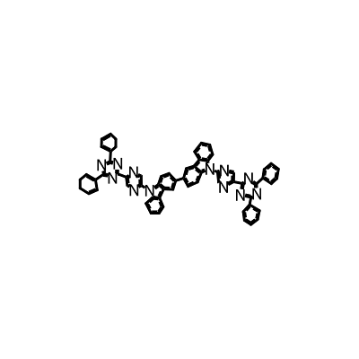 C1=CCCC(c2nc(C3=CCCC=C3)nc(-c3cnc(-n4c5ccccc5c5cc(-c6ccc7c(c6)c6ccccc6n7-c6cnc(-c7nc(-c8ccccc8)nc(-c8ccccc8)n7)cn6)ccc54)cn3)n2)=C1